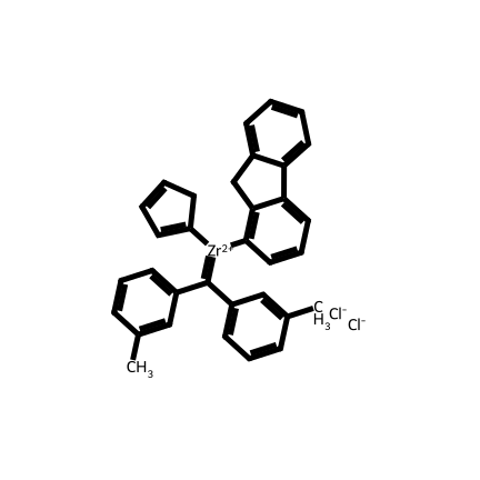 Cc1cccc([C](c2cccc(C)c2)=[Zr+2]([C]2=CC=CC2)[c]2cccc3c2Cc2ccccc2-3)c1.[Cl-].[Cl-]